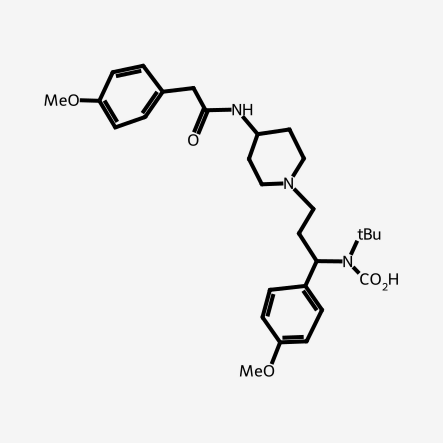 COc1ccc(CC(=O)NC2CCN(CCC(c3ccc(OC)cc3)N(C(=O)O)C(C)(C)C)CC2)cc1